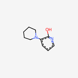 Oc1ncccc1N1CCCCC1